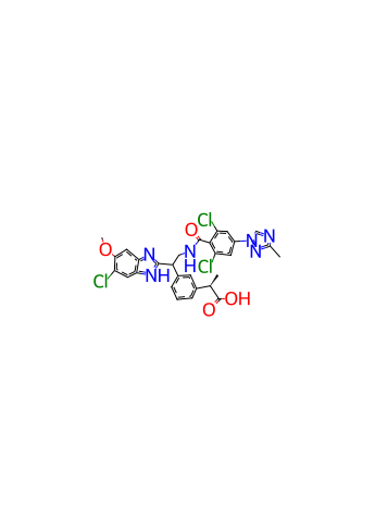 COc1cc2nc(C(CNC(=O)c3c(Cl)cc(-n4cnc(C)n4)cc3Cl)c3cccc([C@@H](C)C(=O)O)c3)[nH]c2cc1Cl